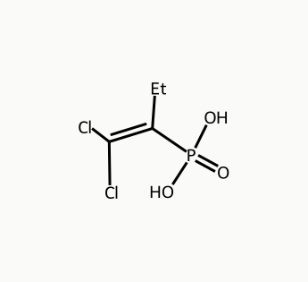 CCC(=C(Cl)Cl)P(=O)(O)O